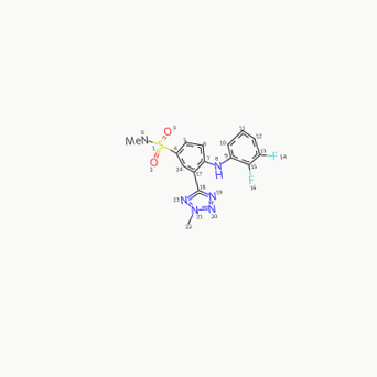 CNS(=O)(=O)c1ccc(Nc2cccc(F)c2F)c(-c2nnn(C)n2)c1